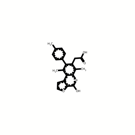 Cc1ccc(-c2c(CC(=O)O)c(C)c3nc(O)c4occc4c3c2C)cc1